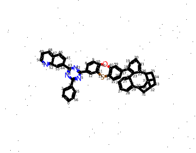 c1ccc(-c2nc(-c3ccc4c(c3)Sc3ccc(-c5cccc6c5-c5ccccc5C5CC7CC8CC6C78C5)cc3O4)nc(-c3ccc4cccnc4c3)n2)cc1